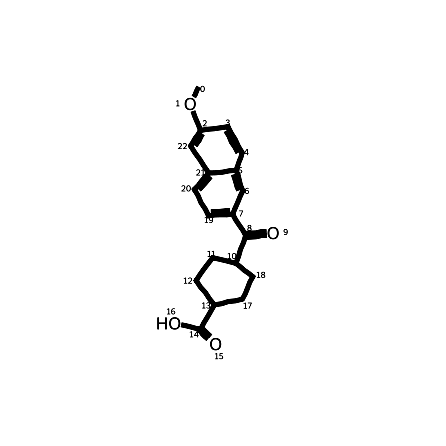 COc1ccc2cc(C(=O)C3CCC(C(=O)O)CC3)ccc2c1